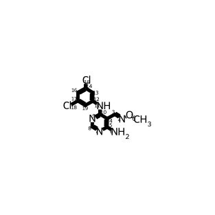 CON=Cc1c(N)ncnc1Nc1cc(Cl)cc(Cl)c1